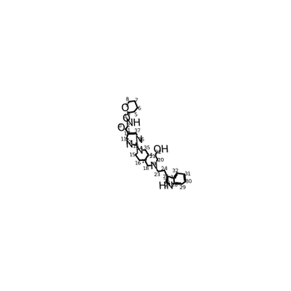 O=C(NOC1CCCCO1)c1cnc(N2CCC(CN(CCO)CCc3c[nH]c4ccccc34)CC2)nc1